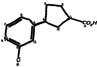 O=C(O)C1CCC(c2ccnc(Cl)c2)C1